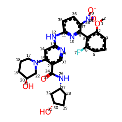 COc1cccc(F)c1-c1nc(Nc2cc(N3CCC[C@H](O)C3)c(C(=O)N[C@@H]3CC[C@H](O)C3)cn2)ccc1[N+](=O)[O-]